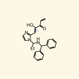 C=CC(=O)/C(O)=C/c1nccn1C(CC)NC(c1ccccc1)c1ccccc1